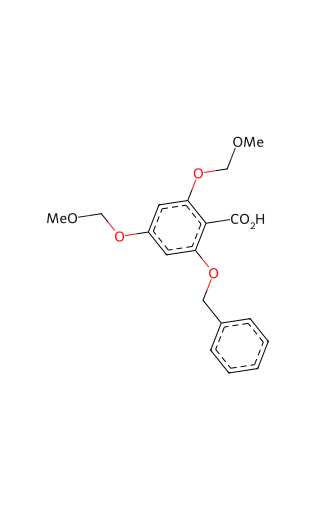 COCOc1cc(OCOC)c(C(=O)O)c(OCc2ccccc2)c1